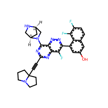 Oc1cc(-c2nnc3c(N4C[C@H]5C[C@@H]4CN5)nc(C#CC45CCCN4CCC5)nc3c2F)c2c(F)c(F)ccc2c1